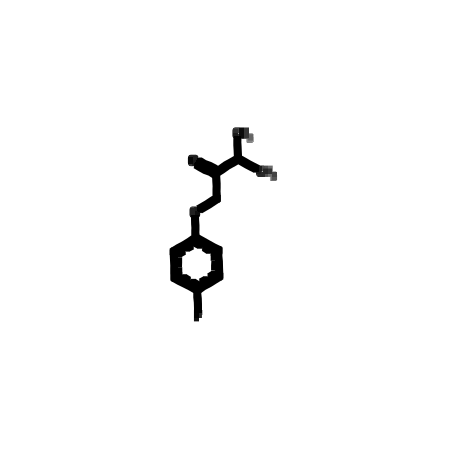 CC(C)C(=O)COc1ccc(F)cc1